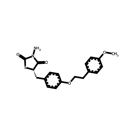 COc1ccc(CCOc2ccc(C[C@@H]3SC(=O)N(N)C3=O)cc2)cc1